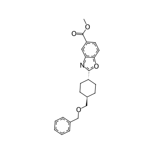 COC(=O)c1ccc2oc([C@H]3CC[C@H](COCc4ccccc4)CC3)nc2c1